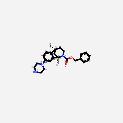 O=C(OCc1ccccc1)N1CC[C@H]2C[C@H]1c1cc(N3CCNCC3)ccc12